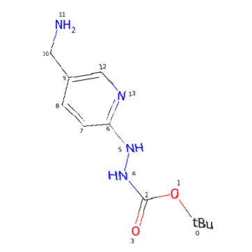 CC(C)(C)OC(=O)NNc1ccc(CN)cn1